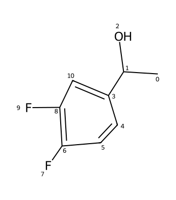 CC(O)c1ccc(F)c(F)c1